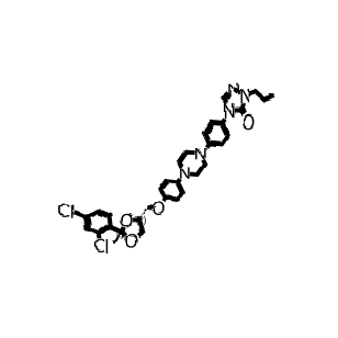 CCCn1ncn(-c2ccc(N3CCN(c4ccc(OC[C@@H]5CO[C@](C)(c6ccc(Cl)cc6Cl)O5)cc4)CC3)cc2)c1=O